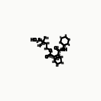 O=C(NC1CCCCC1)C1C2CCC(C2)C1C(=O)OCCC(F)(F)S(=O)(=O)O